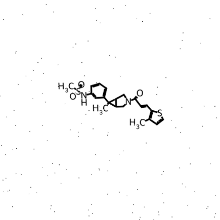 Cc1ccsc1C=CC(=O)N1CC2C(C1)C2(C)c1cccc(NS(C)(=O)=O)c1